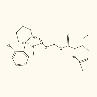 CCC(C)C(NC(C)=O)C(=O)OCOC(=O)N(C)[C@]1(c2ccccc2Cl)CCCCC1=O